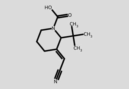 CC(C)(C)C1C(=CC#N)CCCN1C(=O)O